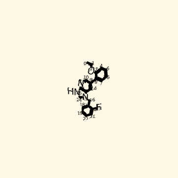 CCOc1ccccc1-c1cnc2c(c1)N(Cc1ccccc1F)CN2